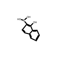 OB(O)c1ccc2ccccc2c1O